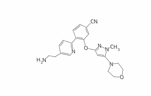 Cn1nc(Oc2cc(C#N)ccc2-c2ccc(CCN)cn2)cc1N1CCOCC1